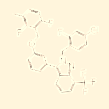 Cc1ccc(F)c(COc2cccc(-c3c4cccc(C(F)(F)F)c4nn3Cc3ccc(Cl)cc3F)c2)c1F